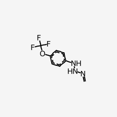 C=NNNc1ccc(OC(F)(F)F)cc1